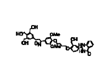 COc1cc(C2=NOC(c3cc(CO)c(CO)c(CO)c3)C2)cc(OC)c1OCCCCOc1ccc(C2NC(=O)c3ccccc3N2)cc1CO